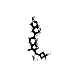 Cc1c([C@@H](CO)C2CC(F)(F)C2)sc2nc(-c3cnc4nn(C)cc4c3)ccc12